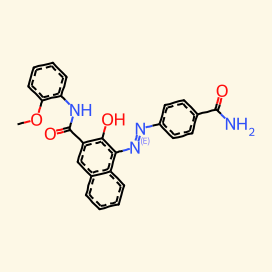 COc1ccccc1NC(=O)c1cc2ccccc2c(/N=N/c2ccc(C(N)=O)cc2)c1O